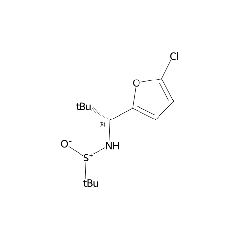 CC(C)(C)[C@@H](N[S+]([O-])C(C)(C)C)c1ccc(Cl)o1